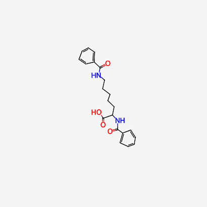 O=C(NCCCCCC(NC(=O)c1ccccc1)C(=O)O)c1ccccc1